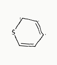 [C]1[C]=[C]C=CS1